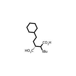 CC(C)(C)C(C(=O)O)[C@@H](CCC1CCCCC1)C(=O)O